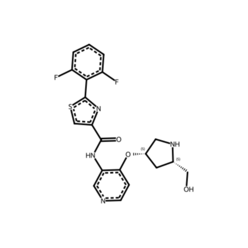 O=C(Nc1cnccc1O[C@@H]1CN[C@H](CO)C1)c1csc(-c2c(F)cccc2F)n1